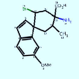 COc1ccc2c(c1)C1(C=C2)CC(C)C(N)(C(=O)O)CC1Br